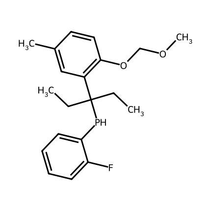 CCC(CC)(Pc1ccccc1F)c1cc(C)ccc1OCOC